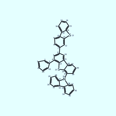 c1ccc(-c2cc(-c3ccc4c(c3)sc3ccccc34)cc3c2sc2c(-n4c5ccccc5c5ccccc54)cccc23)cc1